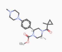 C[C@@H]1CN(C(=O)OC(C)(C)C)[C@@H](c2ccc(N3CCN(C)CC3)cc2)CN1C(=O)C1(C)CC1